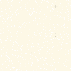 Oc1ccc(-c2sc3cc(OCc4ccccc4)ccc3c2Br)cc1